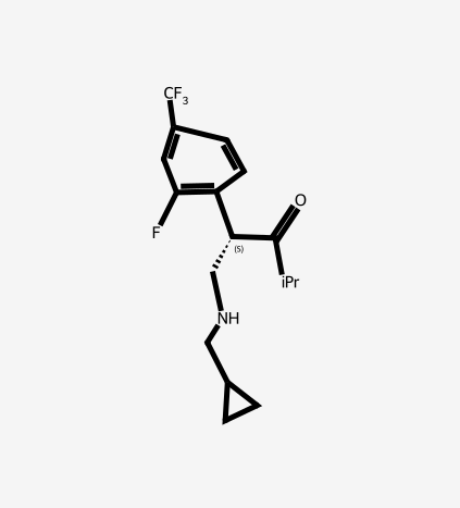 CC(C)C(=O)[C@H](CNCC1CC1)c1ccc(C(F)(F)F)cc1F